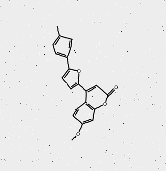 COc1ccc2c(-c3ccc(-c4ccc(C)cc4)o3)cc(=O)oc2c1